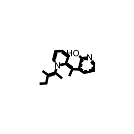 CC/C(C)=C(\C)N1C=CC=C/C1=C(/C)c1cccnc1O